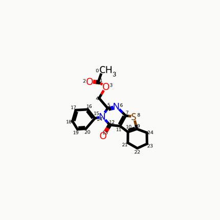 CC(=O)OCc1nc2sc3c(c2c(=O)n1-c1ccccc1)CCCC3